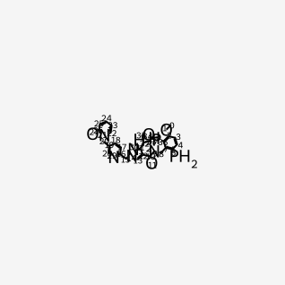 COc1ccc(P)c(CNC(=O)c2cn(Cc3ccc(Cn4ccccc4=O)cn3)nc2C2COC2)c1P